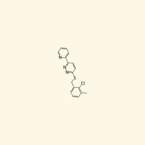 Cc1cccc(CSc2ccc(-c3ccccn3)nn2)c1Cl